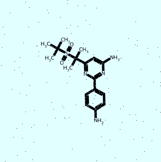 CC(C)(C)S(=O)(=O)C(C)(C)c1cc(N)nc(-c2ccc(N)cc2)n1